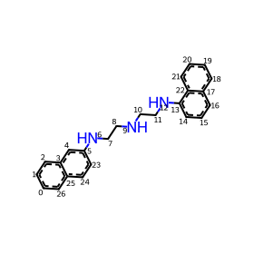 c1ccc2cc(NCCNCCNc3cccc4ccccc34)ccc2c1